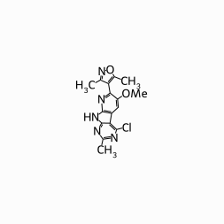 COc1cc2c(nc1-c1c(C)noc1C)[nH]c1nc(C)nc(Cl)c12